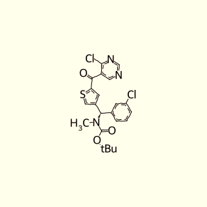 CN(C(=O)OC(C)(C)C)[C@H](c1cccc(Cl)c1)c1csc(C(=O)c2cncnc2Cl)c1